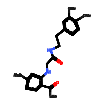 CNC(=O)c1ccc(OC)cc1NCC(=O)NCCc1ccc(OC)c(OC)c1